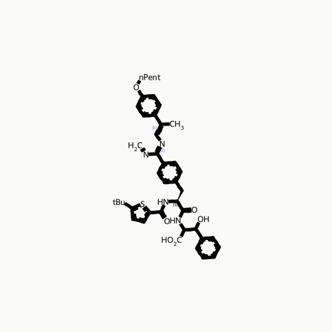 C=N/C(=N\C=C(/C)c1ccc(OCCCCC)cc1)c1ccc(C[C@H](NC(=O)c2ccc(C(C)(C)C)s2)C(=O)NC(C(=O)O)C(O)c2ccccc2)cc1